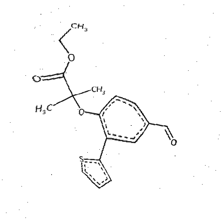 CCOC(=O)C(C)(C)Oc1ccc(C=O)cc1-c1cccs1